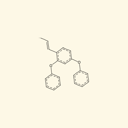 [CH2]/C=C/c1ccc(Oc2ccccc2)cc1Oc1ccccc1